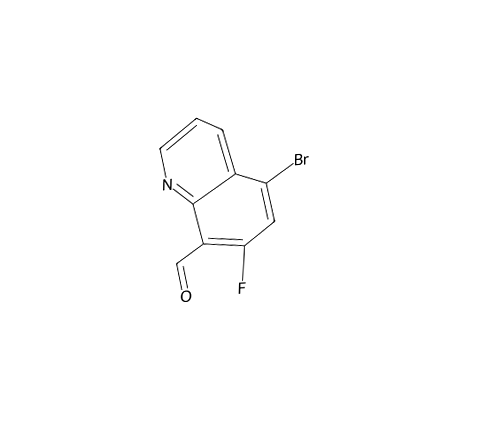 O=Cc1c(F)cc(Br)c2cccnc12